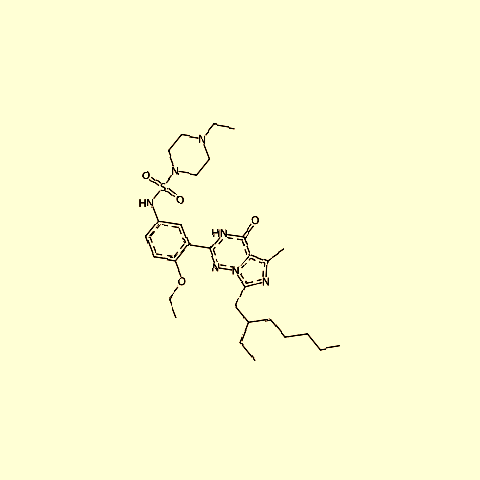 CCCCCC(CC)Cc1nc(C)c2c(=O)[nH]c(-c3cc(NS(=O)(=O)N4CCN(CC)CC4)ccc3OCC)nn12